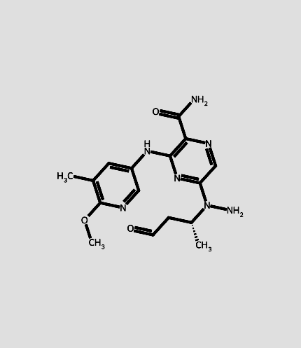 COc1ncc(Nc2nc(N(N)[C@H](C)CC=O)cnc2C(N)=O)cc1C